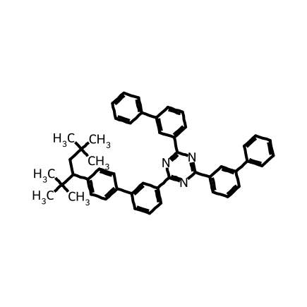 CC(C)(C)CC(c1ccc(-c2cccc(-c3nc(-c4cccc(-c5ccccc5)c4)nc(-c4cccc(-c5ccccc5)c4)n3)c2)cc1)C(C)(C)C